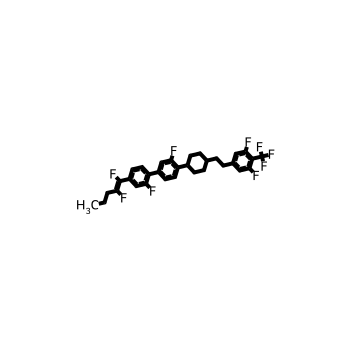 CCC/C(F)=C(\F)c1ccc(-c2ccc(C3CCC(CCc4cc(F)c(C(F)(F)F)c(F)c4)CC3)c(F)c2)c(F)c1